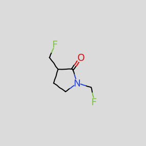 O=C1C(CF)CCN1CF